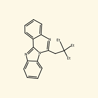 CCC(CC)(CC)Cc1nc2ccccc2c2nc3ccccc3n12